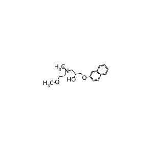 COCCN(C)CC(O)COc1ccc2ccccc2c1